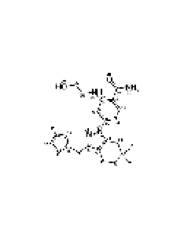 CC1(C)CCc2c(Cc3ccsc3)nn(-c3ccc(C(N)=O)c(NCCO)c3)c2C1